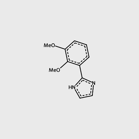 COc1cccc(-c2ncc[nH]2)c1OC